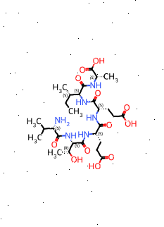 CC[C@H](C)[C@H](NC(=O)[C@H](CCC(=O)O)NC(=O)[C@H](CCC(=O)O)NC(=O)[C@@H](NC(=O)[C@@H](N)C(C)C)[C@@H](C)O)C(=O)N[C@@H](C)C(=O)O